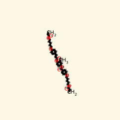 C=CC(=O)OCCCCCOc1ccc(/C=C/C(=O)Oc2ccc(OC(=O)c3ccc(OCCCCCOC(=O)C=C)cc3)cc2C)cc1